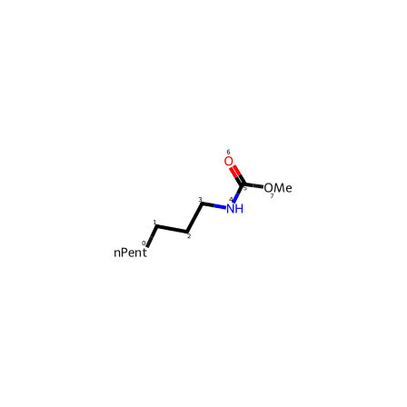 CCCCCCCCNC(=O)OC